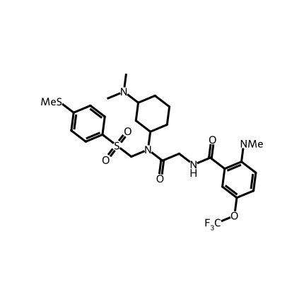 CNc1ccc(OC(F)(F)F)cc1C(=O)NCC(=O)N(CS(=O)(=O)c1ccc(SC)cc1)C1CCCC(N(C)C)C1